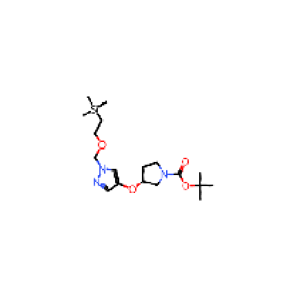 CC(C)(C)OC(=O)N1CC[C@H](Oc2cnn(COCC[Si](C)(C)C)c2)C1